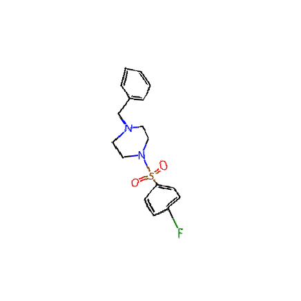 O=S(=O)(c1ccc(F)cc1)N1CCN(Cc2ccccc2)CC1